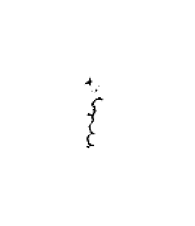 C=C(I)CC(Cl)CCC(=O)C=CC(O)[C@H]1COC(C)(C)O1